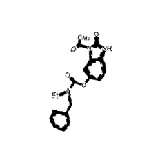 CCN(Cc1ccccc1)C(=O)Oc1ccc2[nH]c(=O)n(C(=O)OC)c2c1